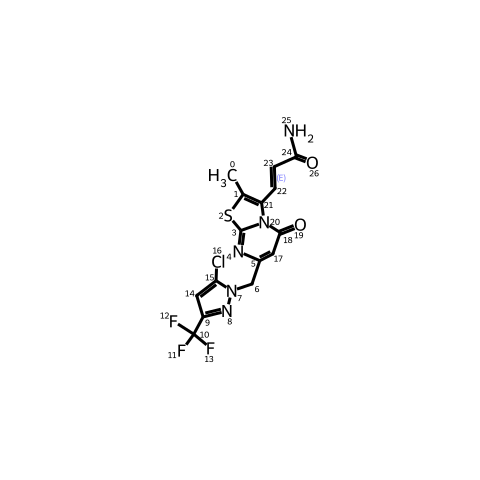 Cc1sc2nc(Cn3nc(C(F)(F)F)cc3Cl)cc(=O)n2c1/C=C/C(N)=O